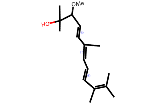 COC(/C=C/C(C)=C/C=C/C(C)=C(C)C)C(C)(C)O